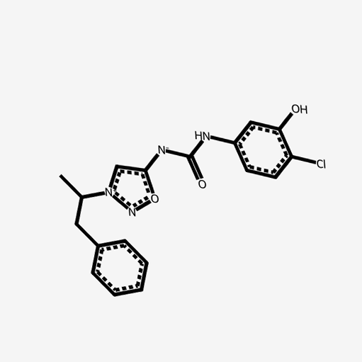 CC(Cc1ccccc1)[n+]1cc([N-]C(=O)Nc2ccc(Cl)c(O)c2)on1